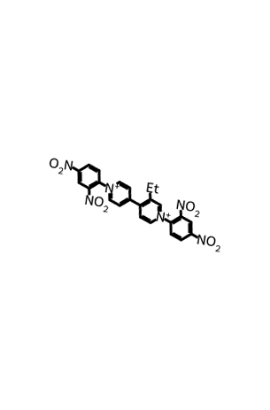 CCc1c[n+](-c2ccc([N+](=O)[O-])cc2[N+](=O)[O-])ccc1-c1cc[n+](-c2ccc([N+](=O)[O-])cc2[N+](=O)[O-])cc1